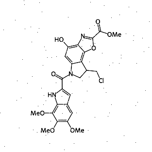 COC(=O)c1nc2c(O)cc3c(c2o1)C(CCl)CN3C(=O)c1cc2cc(OC)c(OC)c(OC)c2[nH]1